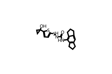 O=C(NSc1ccc(C2(O)CC2)s1)Nc1c2c(cc3c1CCC3)CCC2